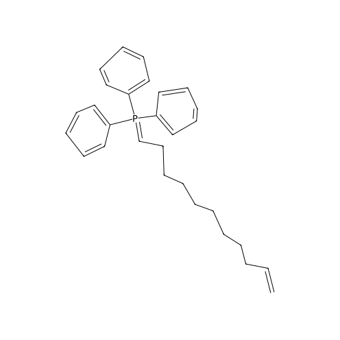 C=CCCCCCCCCC=P(c1ccccc1)(c1ccccc1)c1ccccc1